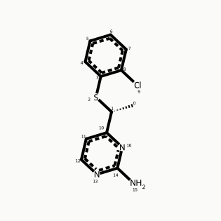 C[C@@H](Sc1ccccc1Cl)c1ccnc(N)n1